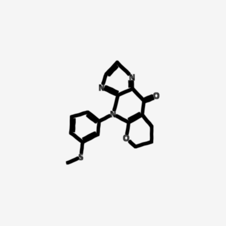 CSc1cccc(-n2c3c(c(=O)c4nccnc42)CCCO3)c1